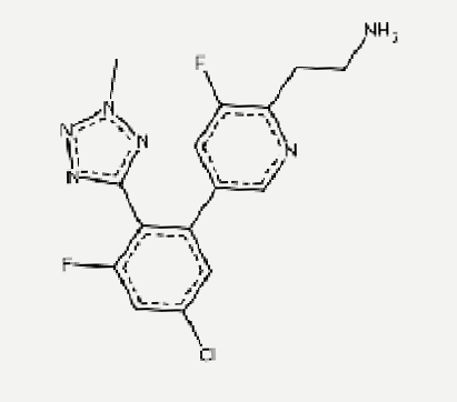 Cn1nnc(-c2c(F)cc(Cl)cc2-c2cnc(CCN)c(F)c2)n1